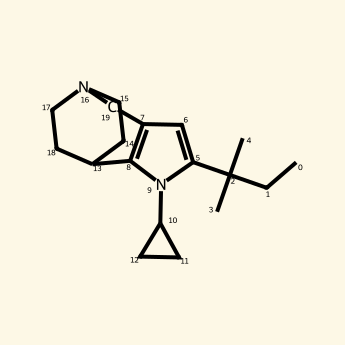 CCC(C)(C)c1cc2c(n1C1CC1)C1CCN(CC1)C2